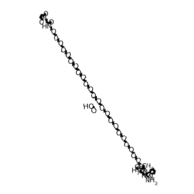 CCOCc1nc2c(N)nc3ccccc3c2n1CC(C)(C)OCCOCCOCCOCCOCCOCCOCCOCCOCCOCCOCCOCCOCCOCCOCCOCCOCCOCCOCCOCCOCCOCCOCCOCCNC(=O)CCN1C(=O)C=CC1=O.O=CO